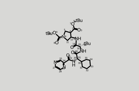 CC(C)(C)OC(=O)C1CN(C(=O)OC(C)(C)C)CC1NC(=O)[C@@H](NC(=O)[C@@H](NC(=O)c1cnccn1)C1CCCCC1)C(C)(C)C